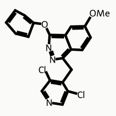 COc1ccc2c(Cc3c(Cl)cncc3Cl)nnc(Oc3ccccc3)c2c1